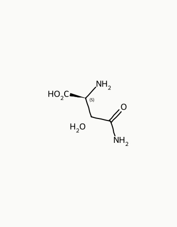 NC(=O)C[C@H](N)C(=O)O.O